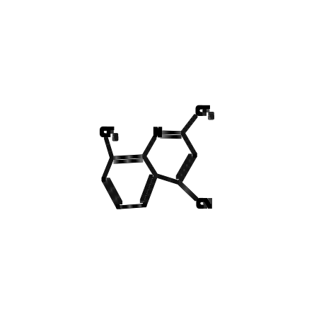 N#Cc1cc(C(F)(F)F)nc2c(C(F)(F)F)cccc12